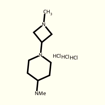 CNC1CCN(C2CN(C)C2)CC1.Cl.Cl.Cl